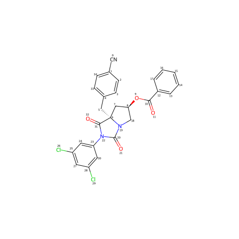 N#Cc1ccc(C[C@]23C[C@@H](OC(=O)c4ccccc4)CN2C(=O)N(c2cc(Cl)cc(Cl)c2)C3=O)cc1